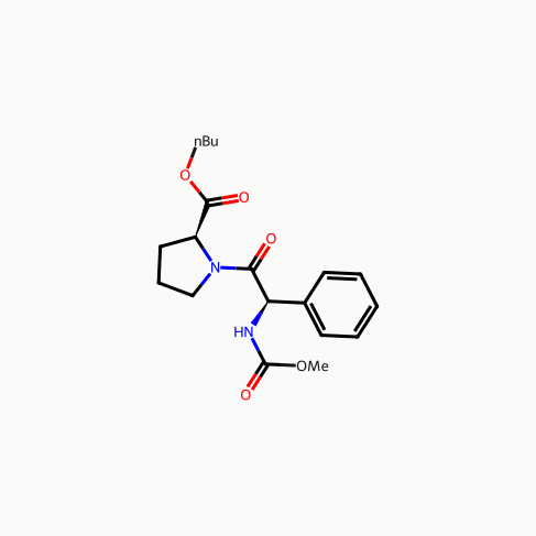 CCCCOC(=O)[C@@H]1CCCN1C(=O)[C@H](NC(=O)OC)c1ccccc1